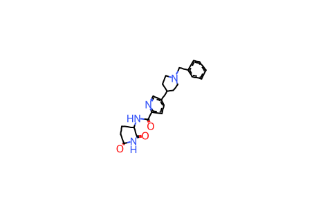 O=C1CCC(NC(=O)c2ccc(C3CCN(Cc4ccccc4)CC3)cn2)C(=O)N1